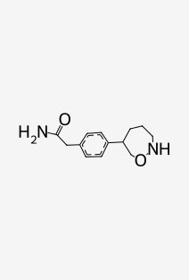 NC(=O)Cc1ccc(C2CCCNOC2)cc1